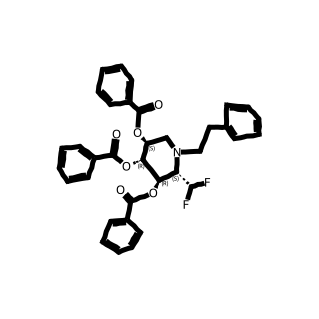 O=C(O[C@H]1[C@H](OC(=O)c2ccccc2)[C@@H](C(F)F)N(CCc2ccccc2)C[C@@H]1OC(=O)c1ccccc1)c1ccccc1